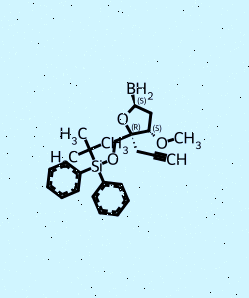 B[C@H]1C[C@H](OC)[C@@](CC#C)(CO[Si](c2ccccc2)(c2ccccc2)C(C)(C)C)O1